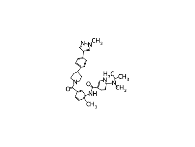 Cc1ccc(C(=O)N2CCC(c3ccc(-c4cnn(C)c4)cc3)CC2)cc1NC(=O)c1ccc(N(C)C(C)C)nc1